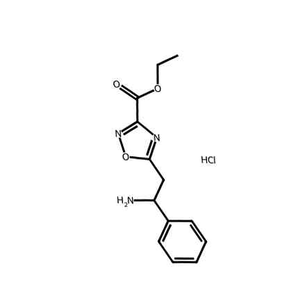 CCOC(=O)c1noc(CC(N)c2ccccc2)n1.Cl